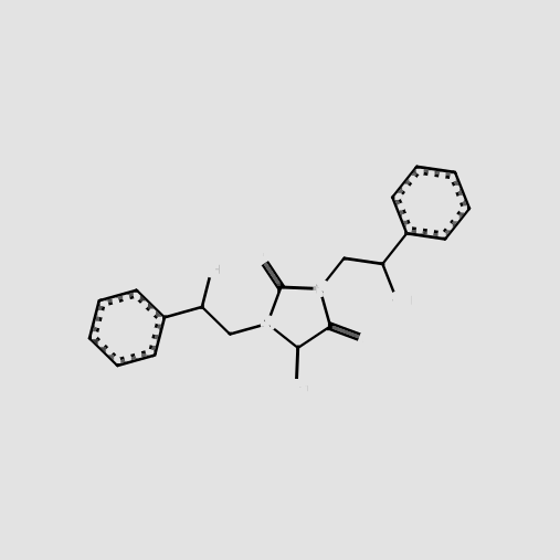 CC(C)C1C(=O)N(CC(O)c2ccccc2)C(=O)N1CC(O)c1ccccc1